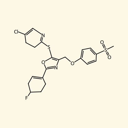 CS(=O)(=O)c1ccc(OCc2nc(C3=CCC(F)CC3)oc2SC2=NC=C(Cl)CC2)cc1